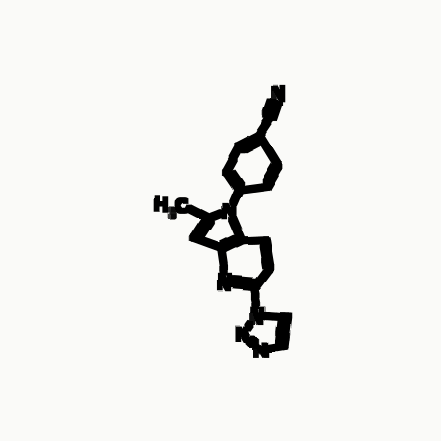 Cc1cc2nc(-n3ccnn3)ccc2n1-c1ccc(C#N)cc1